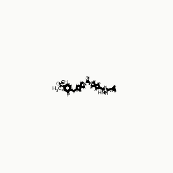 CP(C)(=O)c1ccc(CC2CC3(C2)CN(C(=O)N2CC4(CC(c5nc(C6CC6)n[nH]5)C4)C2)C3)c(F)c1